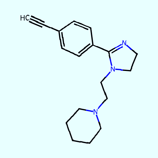 C#Cc1ccc(C2=NCCN2CCN2CCCCC2)cc1